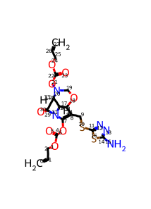 C=CCOC(=O)OC1=C(CSc2nnc(N)s2)C2OCN(OC(=O)OCC=C)[C@@H]3C(=O)N1[C@H]23